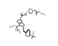 COC(=O)C[C@H]1CC[C@H](CNC(=O)c2cnc3c(c2)CN(Cc2ccc(C(F)(F)F)cc2)C3C(C)C)CC1